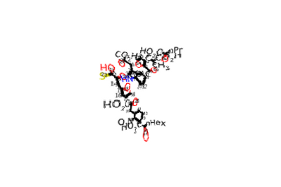 C=C(C)C(=O)O.CCCC(=O)C(=O)O.CCCCCCC(=O)C(=O)O.O=C(Cc1ccco1)C(O)=S.O=C(O)C(=O)Cc1c[nH]c2ccccc12.O=C(O)C(=O)Cc1ccccc1[N+](=O)[O-].O=C(O)C(=O)c1ccco1